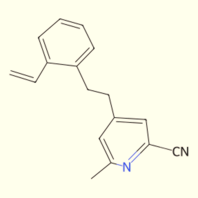 C=Cc1ccccc1CCc1cc(C)nc(C#N)c1